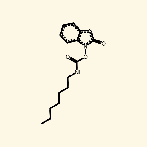 CCCCCCCNC(=O)On1c(=O)sc2ccccc21